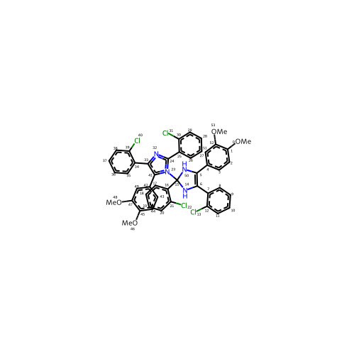 COc1ccc(C2=C(c3ccccc3Cl)NC(c3ccccc3Cl)(n3c(-c4ccccc4Cl)nc(-c4ccccc4Cl)c3-c3ccc(OC)c(OC)c3)N2)cc1OC